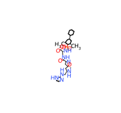 Cc1cc(-c2ccccc2)cc(C)c1S(=O)(=O)NC(CNC(=O)C1=NO[C@]2(CNC(CNc3ncc[nH]3)C2)C1)C(=O)O